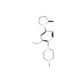 CN1CCN(c2ccc(N3CCCC3=O)cc2CO)CC1